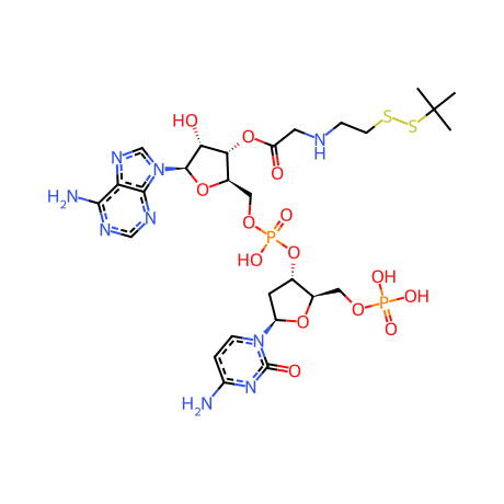 CC(C)(C)SSCCNCC(=O)O[C@H]1[C@@H](O)[C@H](n2cnc3c(N)ncnc32)O[C@@H]1COP(=O)(O)O[C@H]1C[C@H](n2ccc(N)nc2=O)O[C@@H]1COP(=O)(O)O